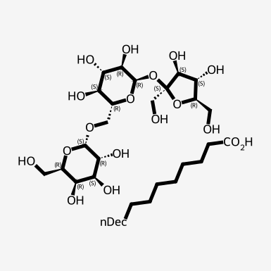 CCCCCCCCCCCCCCCCCC(=O)O.OC[C@H]1O[C@H](OC[C@H]2O[C@H](O[C@]3(CO)O[C@H](CO)[C@@H](O)[C@@H]3O)[C@H](O)[C@@H](O)[C@@H]2O)[C@H](O)[C@@H](O)[C@H]1O